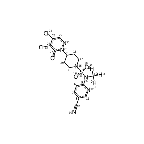 [2H]C([2H])([2H])N(c1ccc(C#N)cn1)S(=O)(=O)N1CCC(n2ncc(Cl)c(Cl)c2=O)CC1